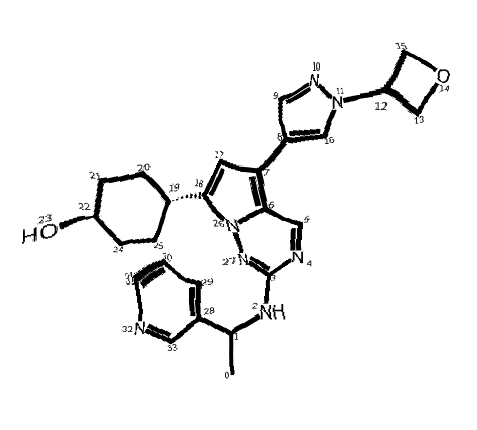 CC(Nc1ncc2c(-c3cnn(C4COC4)c3)cc([C@H]3CC[C@H](O)CC3)n2n1)c1cccnc1